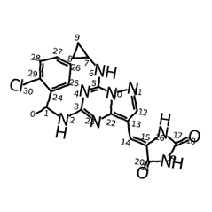 CC(Nc1nc(NC2CC2)n2ncc(/C=C3\NC(=O)NC3=O)c2n1)c1ccccc1Cl